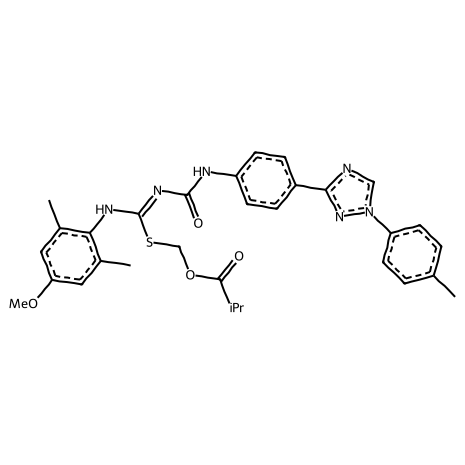 COc1cc(C)c(N/C(=N/C(=O)Nc2ccc(-c3ncn(-c4ccc(C)cc4)n3)cc2)SCOC(=O)C(C)C)c(C)c1